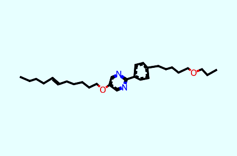 CCCC/C=C/CCCCCOc1cnc(-c2ccc(CCCCCOCCC)cc2)nc1